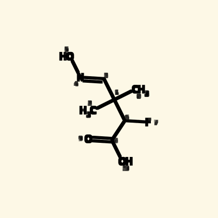 CC(C)(C=NO)C(F)C(=O)O